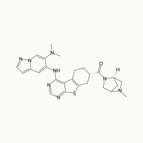 CN(C)c1cn2nccc2cc1Nc1ncnc2sc3c(c12)CC[C@H](C(=O)N1CC2C[C@@H]1CN2C)C3